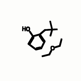 CC(C)(C)Cc1ccccc1O.CCOCC